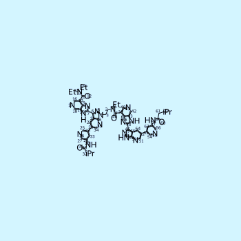 CCN(CCn1nc(-c2nc3c(C(=O)N(CC)CC)cncc3[nH]2)c2cc(-c3cncc(NC(=O)C(C)C)c3)cnc21)C(=O)c1cncc2[nH]c(-c3n[nH]c4ncc(-c5cncc(NC(=O)CC(C)C)c5)cc34)nc12